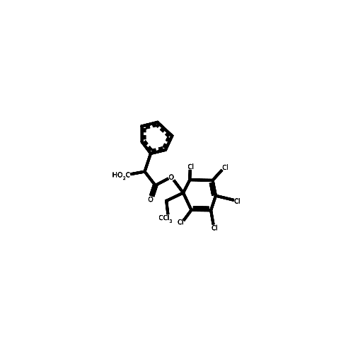 O=C(O)C(C(=O)OC1(CC(Cl)(Cl)Cl)C(Cl)=C(Cl)C(Cl)=C(Cl)C1Cl)c1ccccc1